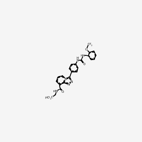 O=C(O)CNC(=O)c1cccn2c(-c3ccc(NC(=O)Nc4ccccc4OC(F)(F)F)cc3)nnc12